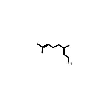 CC(C)=CCCC(C)=CCS